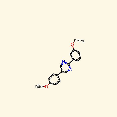 CCCCCCOc1cccc(-c2ncc(-c3ccc(OCCCC)cc3)cn2)c1